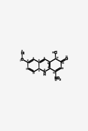 CCOC1=CC2=CC3=C(NC2C=C1)C([N+](=O)[O-])=CC(=O)C3Cl